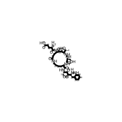 C[C@@H](O)[C@@H]1NN[C@@H](CO)C(=O)NC(C(=O)N[C@@H](CO)C(=O)C(=O)[C@H](Cc2ccccc2)NN)CCCCNC(=O)CCC(NC(=O)[C@@H](N)CCC(=O)O)C(=O)C1=O